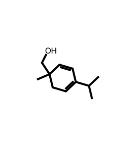 CC(C)C1=CCC(C)(CO)C=C1